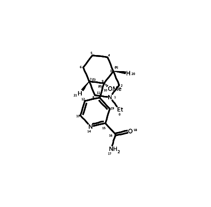 CCN1C[C@H]2CCC[C@@H](C1)[C@]2(OC)c1ccnc(C(N)=O)c1